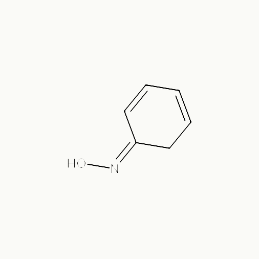 ON=C1[C]=CC=CC1